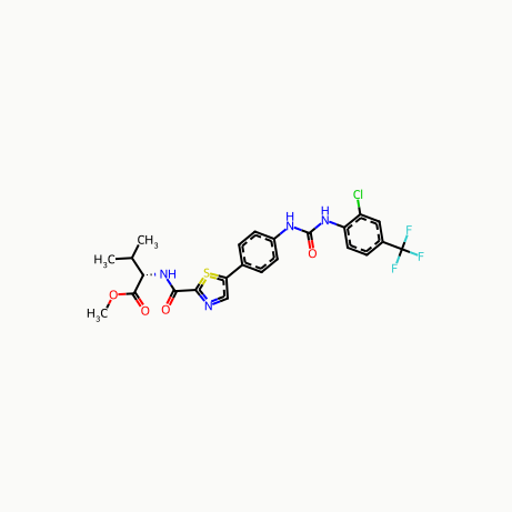 COC(=O)[C@@H](NC(=O)c1ncc(-c2ccc(NC(=O)Nc3ccc(C(F)(F)F)cc3Cl)cc2)s1)C(C)C